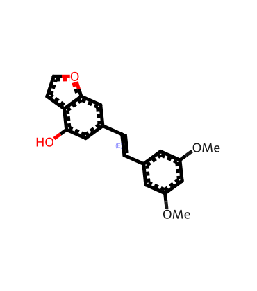 COc1cc(/C=C/c2cc(O)c3ccoc3c2)cc(OC)c1